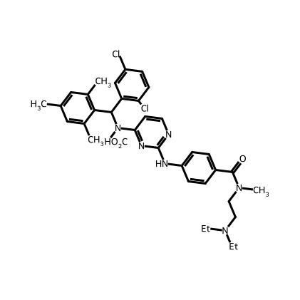 CCN(CC)CCN(C)C(=O)c1ccc(Nc2nccc(N(C(=O)O)C(c3cc(Cl)ccc3Cl)c3c(C)cc(C)cc3C)n2)cc1